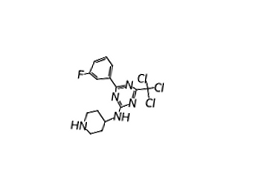 Fc1cccc(-c2nc(NC3CCNCC3)nc(C(Cl)(Cl)Cl)n2)c1